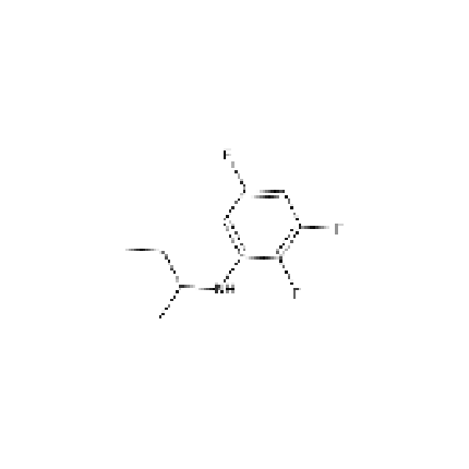 CCC(C)Nc1cc(F)cc(F)c1F